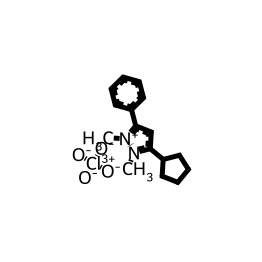 Cn1c(C2CCCC2)cc(-c2ccccc2)[n+]1C.[O-][Cl+3]([O-])([O-])[O-]